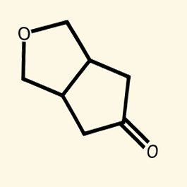 O=C1CC2COCC2C1